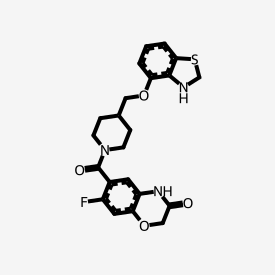 O=C1COc2cc(F)c(C(=O)N3CCC(COc4cccc5c4NCS5)CC3)cc2N1